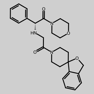 O=C(CN[C@@H](C(=O)N1CCOCC1)c1ccccc1)N1CCC2(CC1)OCc1ccccc12